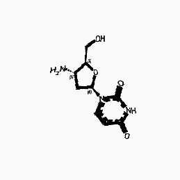 N[C@H]1C[C@H](n2ccc(=O)[nH]c2=O)O[C@@H]1CO